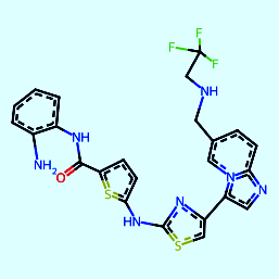 Nc1ccccc1NC(=O)c1ccc(Nc2nc(-c3cnc4ccc(CNCC(F)(F)F)cn34)cs2)s1